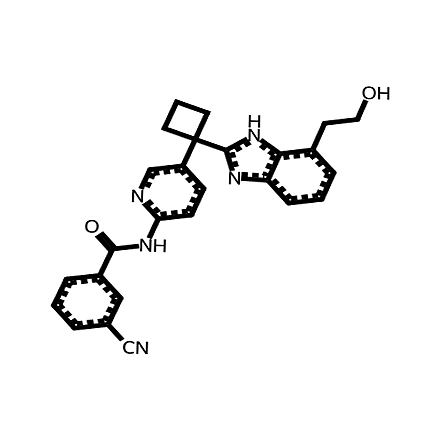 N#Cc1cccc(C(=O)Nc2ccc(C3(c4nc5cccc(CCO)c5[nH]4)CCC3)cn2)c1